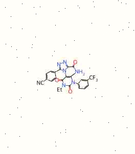 CCn1c(=O)c(-n2c(C(N)=O)nnc2-c2ccc(C#N)cc2)c(C)n(-c2cccc(C(F)(F)F)c2)c1=O